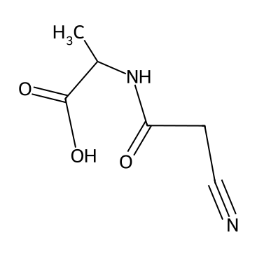 CC(NC(=O)CC#N)C(=O)O